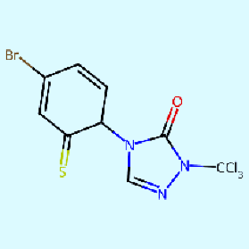 O=c1n(C2C=CC(Br)=CC2=S)cnn1C(Cl)(Cl)Cl